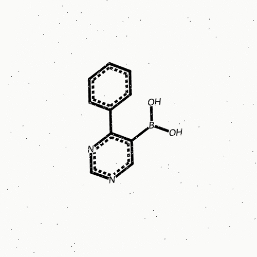 OB(O)c1cncnc1-c1ccccc1